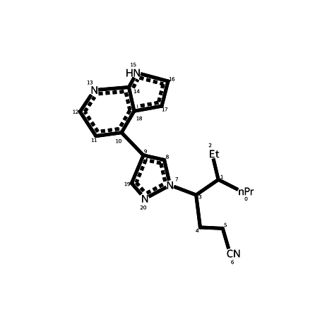 CCCC(CC)C(CCC#N)n1cc(-c2ccnc3[nH]ccc23)cn1